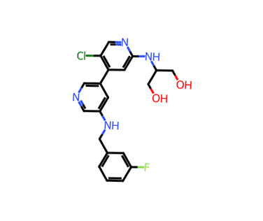 OCC(CO)Nc1cc(-c2cncc(NCc3cccc(F)c3)c2)c(Cl)cn1